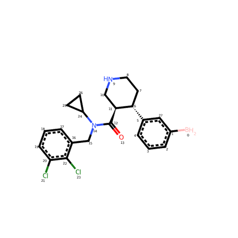 Bc1cccc([C@H]2CCNC[C@@H]2C(=O)N(Cc2cccc(Cl)c2Cl)C2CC2)c1